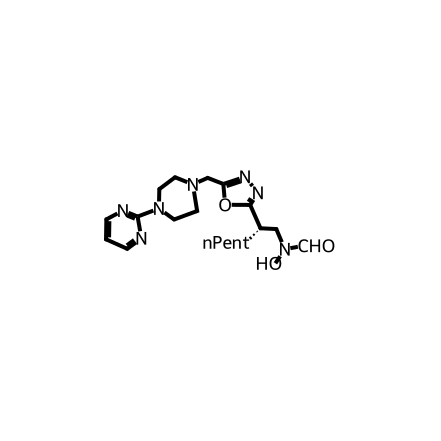 CCCCC[C@@H](CN(O)C=O)c1nnc(CN2CCN(c3ncccn3)CC2)o1